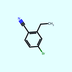 CCc1cc(Br)ccc1C#N